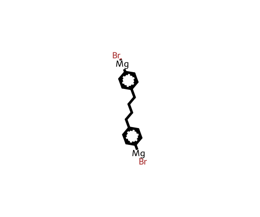 [Br][Mg][c]1ccc(CCCCc2cc[c]([Mg][Br])cc2)cc1